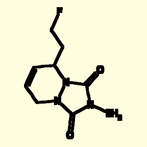 Bn1c(=O)n2n(c1=O)C(CCF)C=CC2